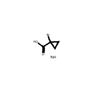 O=C(O)C1(Br)CC1.[NaH]